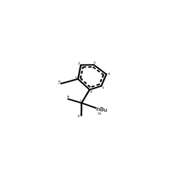 [CH2]c1ccccc1C(C)(C)CCCC